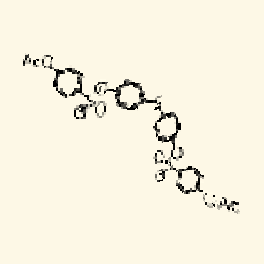 CC(=O)Oc1ccc(S(=O)(=O)Oc2ccc(Sc3ccc(OS(=O)(=O)c4ccc(OC(C)=O)cc4)cc3)cc2)cc1